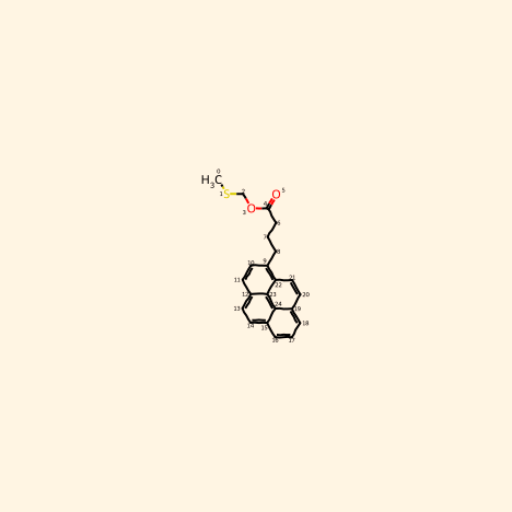 CSCOC(=O)CCCc1ccc2ccc3cccc4ccc1c2c34